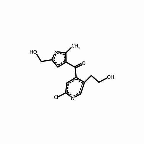 Cc1sc(CO)cc1C(=O)c1cc(Cl)ncc1CCO